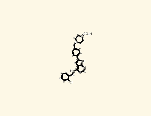 O=C(O)N1CCN(Cc2ccc(-c3cc4c(NCc5ccccc5Cl)ncnc4[nH]3)cc2)CC1